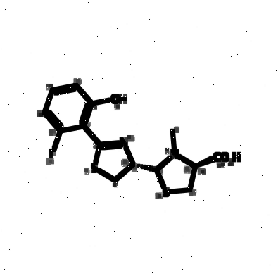 CN1C([C@@H]2CSC(c3c(O)cccc3F)=N2)SC[C@@H]1C(=O)O